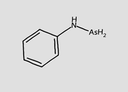 [AsH2]Nc1ccccc1